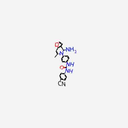 CC1=Cc2occc2C(N)N1c1ccc(NC(=O)Nc2ccc(C#N)cc2)cc1